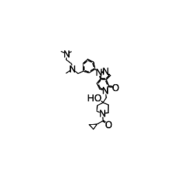 CN(C)CCN(C)Cc1cccc(-n2ncc3c(=O)n(CC4(O)CCN(C(=O)C5CC5)CC4)ccc32)c1